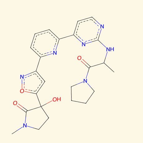 CC(Nc1nccc(-c2cccc(-c3cc(C4(O)CCN(C)C4=O)on3)n2)n1)C(=O)N1CCCC1